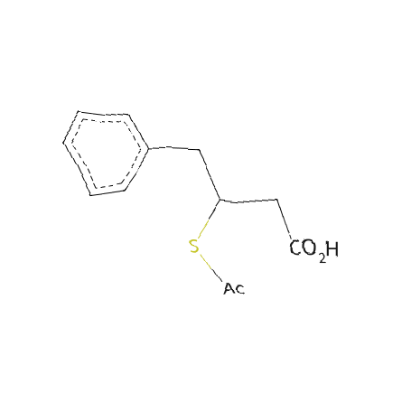 CC(=O)SC(CC(=O)O)Cc1ccccc1